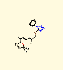 CC[C@H](O[Si](CC)(CC)CC)[C@@H](C)/C=C/C[C@H](C)CSc1nnnn1-c1ccccc1